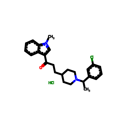 CC(c1cccc(Cl)c1)N1CCC(CCC(=O)c2cn(C)c3ccccc23)CC1.Cl